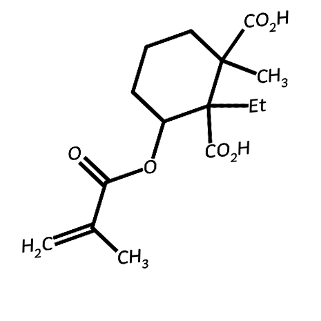 C=C(C)C(=O)OC1CCCC(C)(C(=O)O)C1(CC)C(=O)O